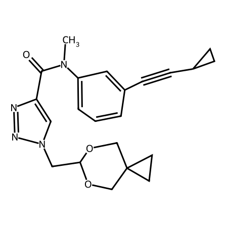 CN(C(=O)c1cn(CC2OCC3(CC3)CO2)nn1)c1cccc(C#CC2CC2)c1